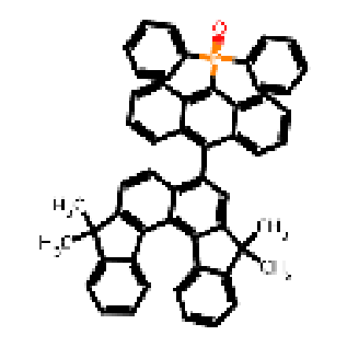 CC1(C)c2ccccc2-c2c1ccc1c(-c3c4ccccc4c(P(=O)(c4ccccc4)c4ccccc4)c4ccccc34)cc3c(c21)-c1ccccc1C3(C)C